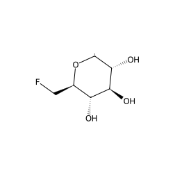 O[C@H]1[C@H](O)[C@@H](CF)O[CH][C@@H]1O